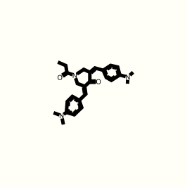 CCC(=O)N1CC(=Cc2ccc(N(C)C)cc2)C(=O)C(=Cc2ccc(N(C)C)cc2)C1